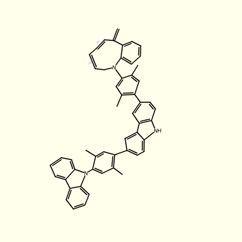 C=C1/C=C\C=C/CN(c2cc(C)c(-c3ccc4[nH]c5ccc(-c6cc(C)c(-n7c8ccccc8c8ccccc87)cc6C)cc5c4c3)cc2C)c2ccccc21